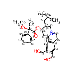 COC(C)(C(=O)O[C@H]1C[C@@H]2c3cc(CO)c(CO)cc3CCN2C[C@@H]1CC(C)C)c1ccccc1